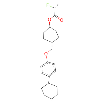 C[C@@H](F)C(=O)O[C@H]1CC[C@H](COc2ccc(C3CC[CH]CC3)cc2)CC1